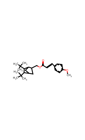 COc1ccc(/C=C/C(=O)OCC2CC3CC2C(C(C)(C)C)C3C(C)(C)C)cc1